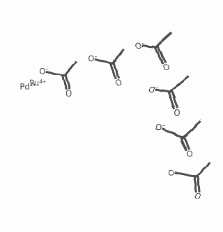 CC(=O)[O-].CC(=O)[O-].CC(=O)[O-].CC(=O)[O-].CC(=O)[O-].CC(=O)[O-].[Pd+2].[Ru+4]